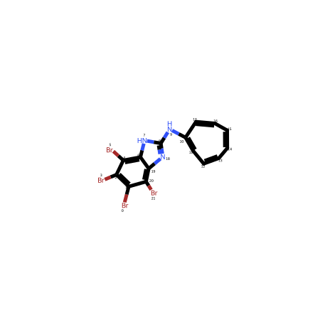 Brc1c(Br)c(Br)c2[nH]c(NC3=CC=CC=CC=C3)nc2c1Br